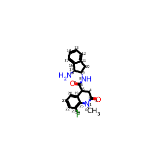 CN1C(=O)CC(C(=O)N[C@H]2Cc3ccccc3[C@@H]2N)c2cccc(F)c21